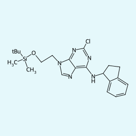 CC(C)(C)[Si](C)(C)OCCn1cnc2c(NC3CCc4ccccc43)nc(Cl)nc21